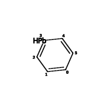 C1=C[CH]=[PbH][CH]=C1